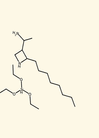 CCCCCCCCC1NCC1C(C)N.CCO[SiH](OCC)OCC